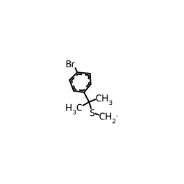 [CH2]SC(C)(C)c1ccc(Br)cc1